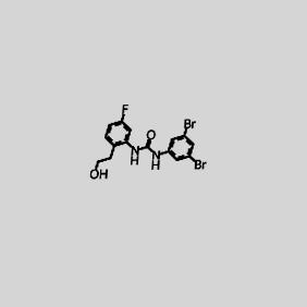 O=C(Nc1cc(Br)cc(Br)c1)Nc1cc(F)ccc1CCO